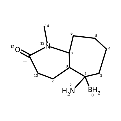 BC1(N)CCCCC2C1CCC(=O)N2C